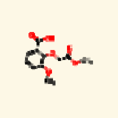 COC(=O)COc1c(OC)cccc1C(=O)O